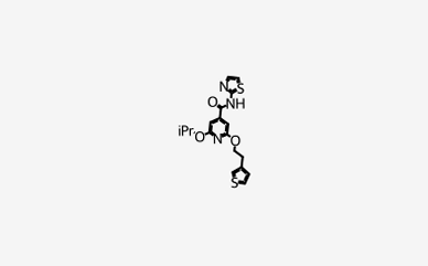 CC(C)Oc1cc(C(=O)Nc2nccs2)cc(OCCc2ccsc2)n1